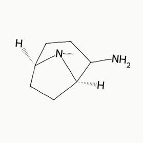 CN1[C@@H]2CCC(N)[C@H]1CC2